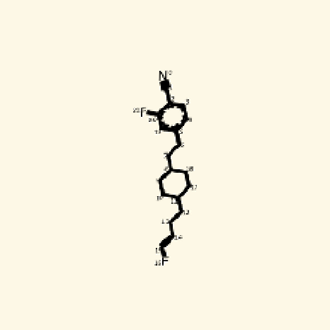 N#Cc1ccc(CCC2CCC(CC/C=C/F)CC2)cc1F